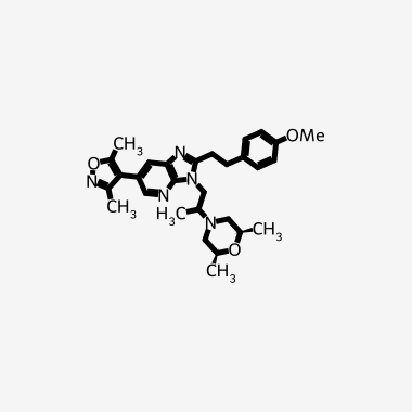 COc1ccc(CCc2nc3cc(-c4c(C)noc4C)cnc3n2CC(C)N2C[C@@H](C)O[C@@H](C)C2)cc1